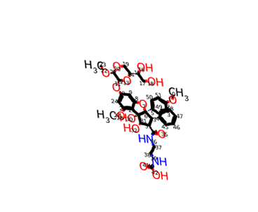 COc1ccc([C@@]23Oc4cc(O[C@@H]5O[C@@H](C(O)CO)CO[C@H]5OC)cc(OC)c4[C@]2(O)[C@H](O)[C@H](C(=O)NCCNC(=O)O)[C@H]3c2ccccc2)cc1